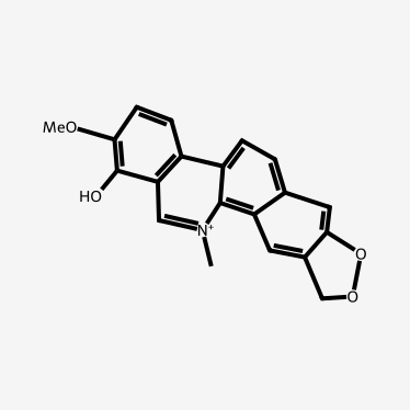 COc1ccc2c(c[n+](C)c3c4cc5c(cc4ccc23)OOC5)c1O